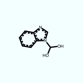 OC(O)n1cnc2ccccc21